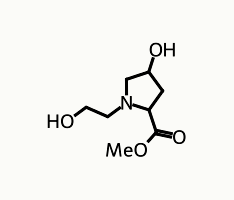 COC(=O)C1CC(O)CN1CCO